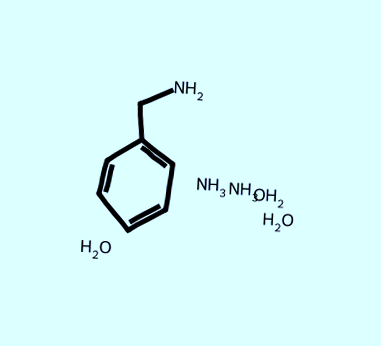 N.N.NCc1ccccc1.O.O.O